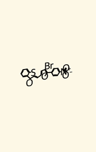 O=C1C(=Cc2ccc(-c3ccc([N+](=O)[O-])cc3Br)o2)Sc2ccccc21